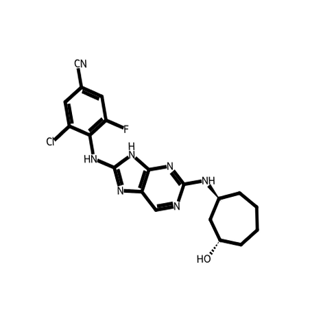 N#Cc1cc(F)c(Nc2nc3cnc(N[C@H]4CCCC[C@H](O)C4)nc3[nH]2)c(Cl)c1